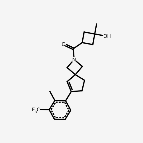 Cc1c(C2=CC3(CC2)CN(C(=O)C2CC(C)(O)C2)C3)cccc1C(F)(F)F